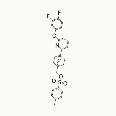 Cc1ccc(S(=O)(=O)OCC23CCC(c4cccc(Oc5ccc(F)c(F)c5)n4)(CC2)OC3)cc1